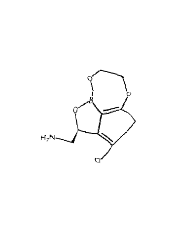 NC[C@H]1OB2OCCOC3=C2C1=C(Cl)CC3